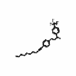 CCCCCCCCC#Cc1ccc(CC[C](C)c2ccc(C(F)(F)F)cc2)cc1